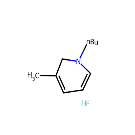 CCCCN1C=CC=C(C)C1.F